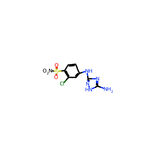 Nc1nc(Nc2ccc(S(=O)(=O)[N+](=O)[O-])c(Cl)c2)n[nH]1